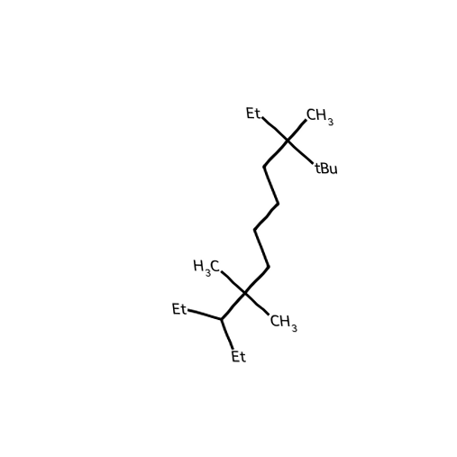 CCC(CC)C(C)(C)CCCCC(C)(CC)C(C)(C)C